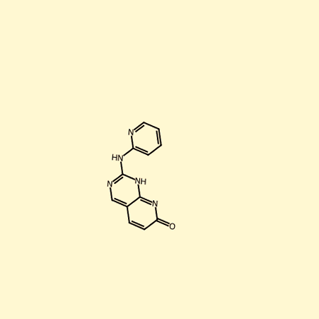 O=c1ccc2cnc(Nc3ccccn3)[nH]c-2n1